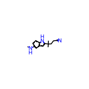 CNc1ccc2[nH]c(C(C)(C)CCC#N)cc2c1